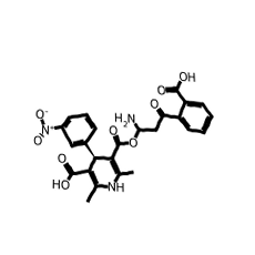 CC1=C(C(=O)O)[C@@H](c2cccc([N+](=O)[O-])c2)C(C(=O)OC(N)CC(=O)c2ccccc2C(=O)O)=C(C)N1